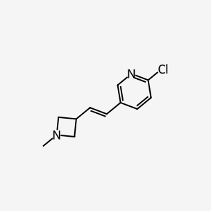 CN1CC(C=Cc2ccc(Cl)nc2)C1